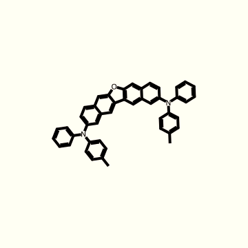 Cc1ccc(N(c2ccccc2)c2ccc3cc4oc5cc6ccc(N(c7ccccc7)c7ccc(C)cc7)cc6cc5c4cc3c2)cc1